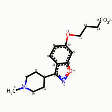 CN1CCC(c2noc3cc(OCCCC(=O)O)ccc23)CC1